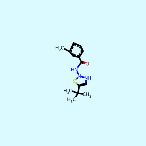 [CH2]c1cccc(C(=O)NN2NC=C(C(C)(C)C)S2)c1